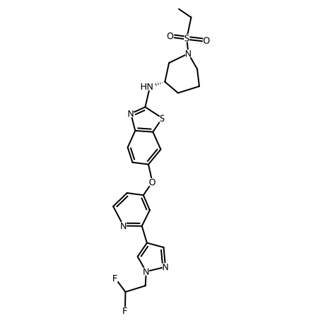 CCS(=O)(=O)N1CCC[C@H](Nc2nc3ccc(Oc4ccnc(-c5cnn(CC(F)F)c5)c4)cc3s2)C1